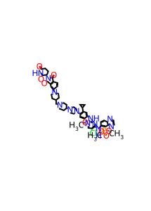 COc1cc(N2CCN(C3CCN(CC4CCN(c5ccc6c(c5)C(=O)N(C5CCC(=O)NC5=O)C6=O)CC4)CC3)CC2)c(C2CC2)cc1Nc1ncc(Cl)c(Nc2ccc3nccnc3c2P(=O)(OC)OC)n1